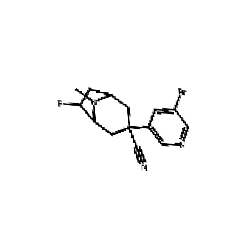 CN1C2CC(F)C1CC(C#N)(c1cncc(Br)c1)C2